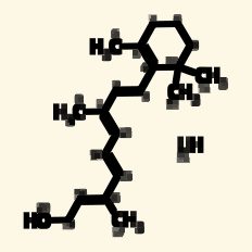 CC(C=CC1=C(C)CCCC1(C)C)=CC=CC(C)=CCO.[LiH]